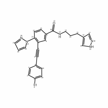 CCc1ccc(C#Cc2cc(C(=O)NCCCc3cn[nH]c3)ccc2-n2cccn2)cc1